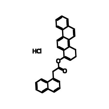 Cl.O=C(Cc1cccc2ccccc12)OC1=CCCc2c1ccc1c2ccc2ccccc21